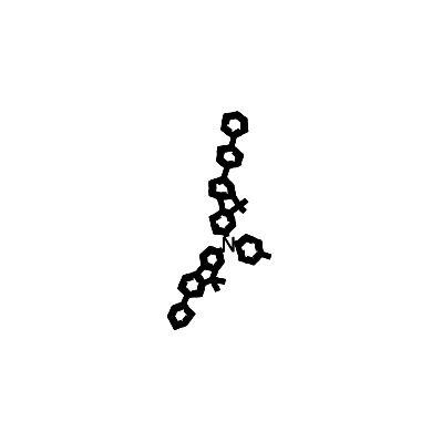 Cc1ccc(N(c2ccc3c(c2)C(C)(C)c2cc(-c4ccccc4)ccc2-3)c2ccc3c(c2)C(C)(C)c2cc(-c4ccc(-c5ccccc5)cc4)ccc2-3)cc1